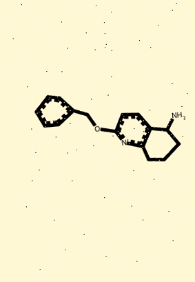 NC1CCCc2nc(OCc3ccccc3)ccc21